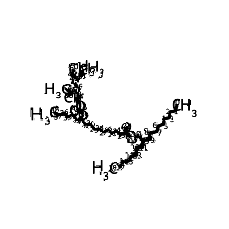 CCCCCCCCCCC(CCCCCCCC)COC(=O)CCCCCCCCCC(CCCCCC)OC(=O)OCCN(CCN(CC)CC)C(C)C